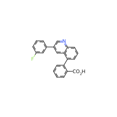 O=C(O)c1ccccc1-c1cccc2ncc(-c3cccc(F)c3)cc12